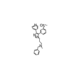 CN(CCCn1cnc(-c2ccncc2)c1-c1cccc([S+](C)[O-])c1)Cc1ccccc1